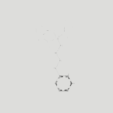 CO[Si](CCCCc1ccccc1)(OC)OC